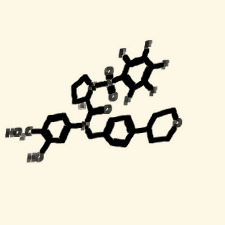 O=C(O)c1ccc(N(Cc2ccc(C3CCOCC3)cc2)C(=O)[C@H]2CCCN2S(=O)(=O)c2c(F)c(F)c(F)c(F)c2F)cc1O